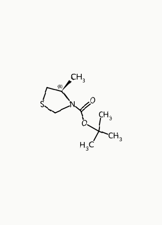 C[C@@H]1CSCN1C(=O)OC(C)(C)C